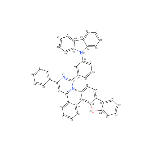 c1ccc(-c2cc(-c3ccccc3-c3cccc4c3oc3ccccc34)nc(-c3cccc(-n4c5ccccc5c5ccccc54)c3)n2)cc1